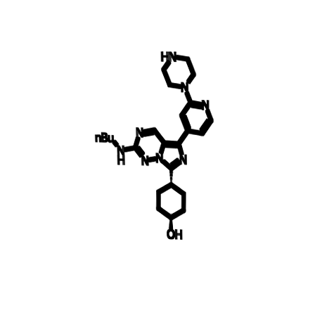 CCCCNc1ncc2c(-c3ccnc(N4CCNCC4)c3)nc([C@H]3CC[C@H](O)CC3)n2n1